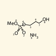 COS(=O)(=O)OCCCO.N